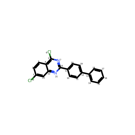 Clc1ccc2c(Cl)nc(-c3ccc(-c4ccccc4)cc3)nc2c1